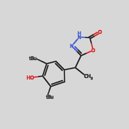 CC(c1cc(C(C)(C)C)c(O)c(C(C)(C)C)c1)c1n[nH]c(=O)o1